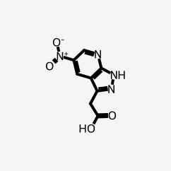 O=C(O)Cc1n[nH]c2ncc([N+](=O)[O-])cc12